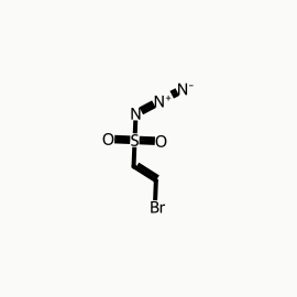 [N-]=[N+]=NS(=O)(=O)C=CBr